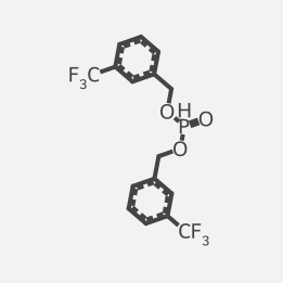 O=[PH](OCc1cccc(C(F)(F)F)c1)OCc1cccc(C(F)(F)F)c1